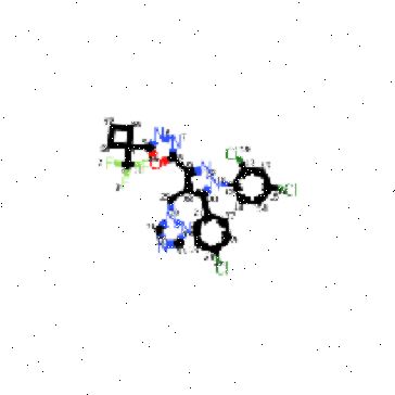 FC(F)(F)C1(c2nnc(-c3nn(-c4ccc(Cl)cc4Cl)c(-c4ccc(Cl)cc4)c3Cn3cncn3)o2)CCC1